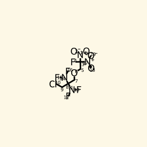 O=[N+]([O-])C(F)(COCC(CCl)(N(F)F)N(F)F)[N+](=O)[O-]